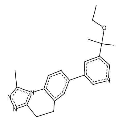 CCOC(C)(C)c1cncc(-c2ccc3c(c2)CCc2nnc(C)n2-3)c1